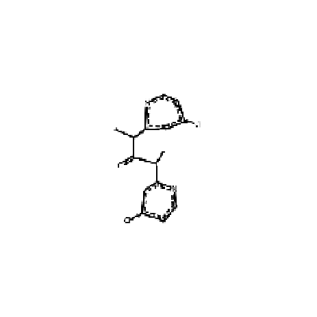 CC(C(=O)C(C)c1cc(Cl)ccn1)c1cc(Cl)ccn1